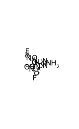 COc1cccc(-c2cc(F)ccc2[C@H]2Cc3nc(N)nc(C)c3C(=NOC(=O)CN3CC[C@@H](F)C3)N2)n1